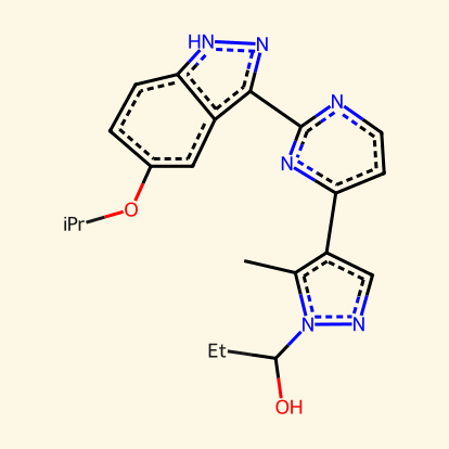 CCC(O)n1ncc(-c2ccnc(-c3n[nH]c4ccc(OC(C)C)cc34)n2)c1C